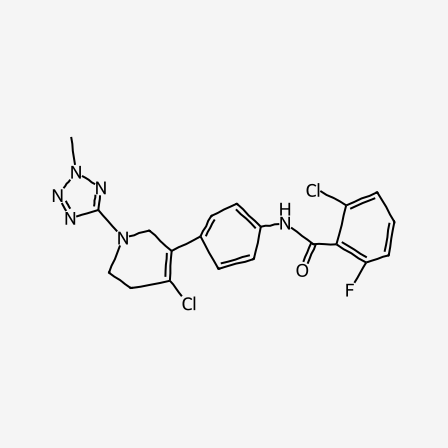 Cn1nnc(N2CCC(Cl)=C(c3ccc(NC(=O)c4c(F)cccc4Cl)cc3)C2)n1